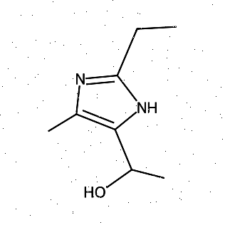 CCc1nc(C)c(C(C)O)[nH]1